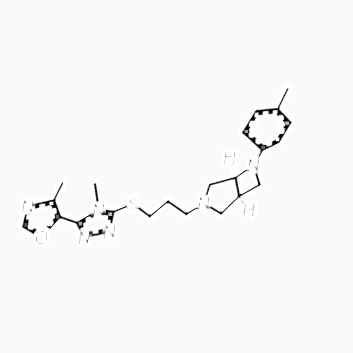 Cc1ccc(N2C[C@H]3CN(CCCSc4nnc(-c5ocnc5C)n4C)C[C@H]32)cc1